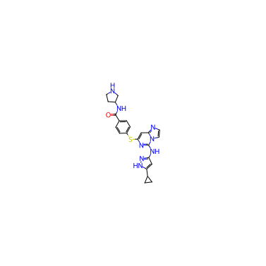 O=C(NC1CCNC1)c1ccc(Sc2cc3nccn3c(Nc3cc(C4CC4)[nH]n3)n2)cc1